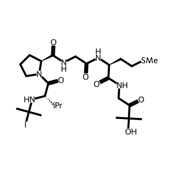 CSCC[C@H](NC(=O)CNC(=O)[C@@H]1CCCN1C(=O)[C@@H](NC(C)(C)I)C(C)C)C(=O)NCC(=O)C(C)(C)O